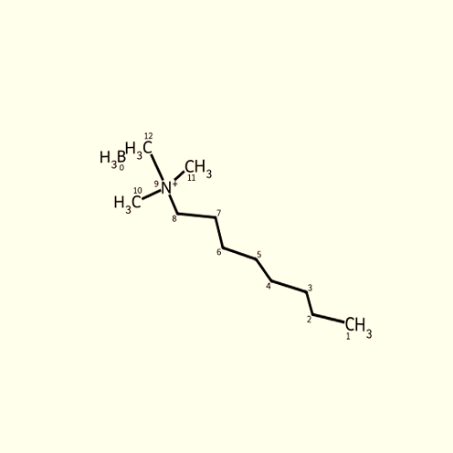 B.CCCCCCCC[N+](C)(C)C